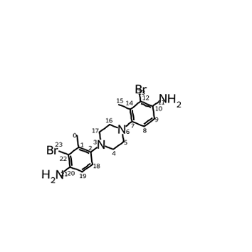 Cc1c(N2CCN(c3ccc(N)c(Br)c3C)CC2)ccc(N)c1Br